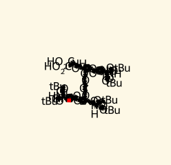 CC(C)(C)OC(=O)C[C@H](NC(=O)CCc1ccc(OC(=O)c2ccc(NC(=NC(=O)OC(C)(C)C)NC(=O)OC(C)(C)C)cc2)cc1OCCOCCOCCOc1cc(OC(=O)c2ccc(NC(=NC(=O)OC(C)(C)C)NC(=O)OC(C)(C)C)cc2)ccc1CCC(=O)N[C@@H](CC(=O)O)C(=O)O)C(=O)OC(C)(C)C